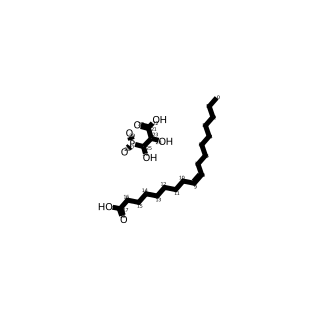 CCCCCCCC/C=C\CCCCCCCC(=O)O.O=C(O)C(O)C(O)P(=O)=O